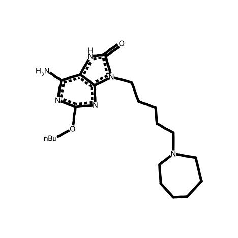 CCCCOc1nc(N)c2[nH]c(=O)n(CCCCCN3CCCCCC3)c2n1